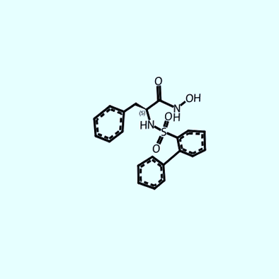 O=C(NO)[C@H](Cc1ccccc1)NS(=O)(=O)c1ccccc1-c1ccccc1